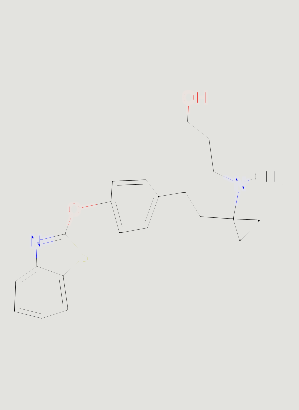 CN(CCCO)C1(CCc2ccc(Oc3nc4ccccc4s3)cc2)CC1